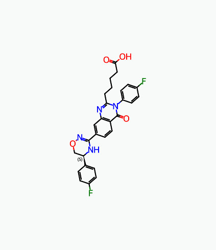 O=C(O)CCCCc1nc2cc(C3=NOC[C@H](c4ccc(F)cc4)N3)ccc2c(=O)n1-c1ccc(F)cc1